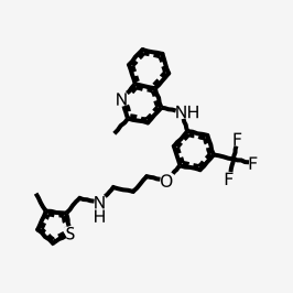 Cc1cc(Nc2cc(OCCCNCc3sccc3C)cc(C(F)(F)F)c2)c2ccccc2n1